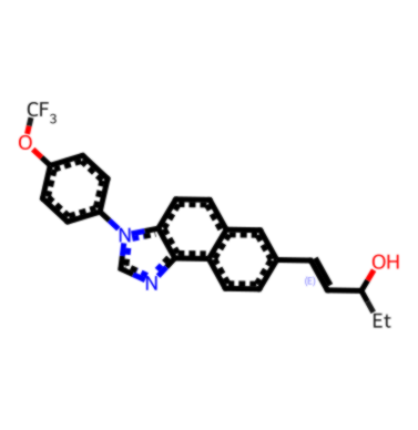 CCC(O)/C=C/c1ccc2c(ccc3c2ncn3-c2ccc(OC(F)(F)F)cc2)c1